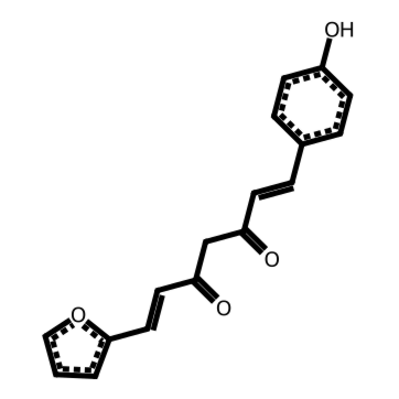 O=C(C=Cc1ccc(O)cc1)CC(=O)C=Cc1ccco1